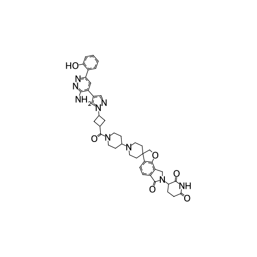 Nc1nnc(-c2ccccc2O)cc1-c1cnn(C2CC(C(=O)N3CCC(N4CCC5(CC4)COc4c5ccc5c4CN(C4CCC(=O)NC4=O)C5=O)CC3)C2)c1